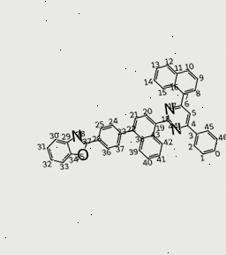 c1ccc(-c2cc(-c3cccc4ccccc34)nc(-c3ccc(-c4ccc(-c5nc6ccccc6o5)cc4)c4ccccc34)n2)cc1